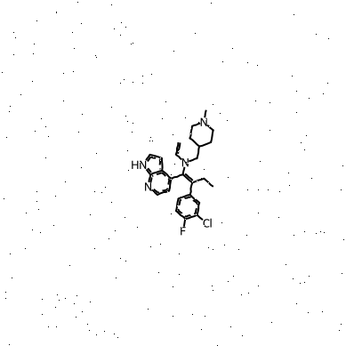 C=CN(CC1CCN(C)CC1)/C(=C(\CC)c1ccc(F)c(Cl)c1)c1ccnc2[nH]ccc12